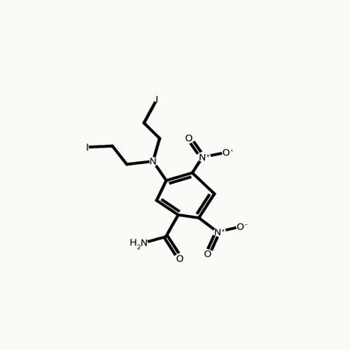 NC(=O)c1cc(N(CCI)CCI)c([N+](=O)[O-])cc1[N+](=O)[O-]